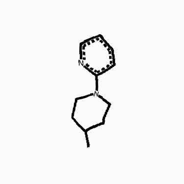 CC1CCN(c2cc[c]cn2)CC1